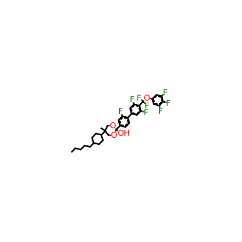 CCCCCC1CCC(C2(C)COC(O)(c3ccc(-c4cc(F)c(C(F)(F)Oc5cc(F)c(F)c(F)c5)c(F)c4)c(F)c3)OC2)CC1